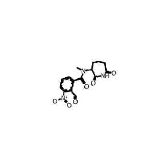 CN(C(=O)c1cccc([N+](=O)[O-])c1C=O)C1CCCC(=O)NC1=O